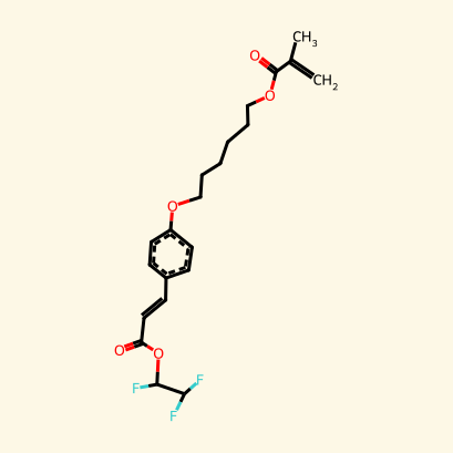 C=C(C)C(=O)OCCCCCCOc1ccc(/C=C/C(=O)OC(F)C(F)F)cc1